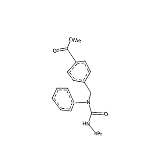 CCCNC(=O)N(Cc1ccc(C(=O)OC)cc1)c1ccccc1